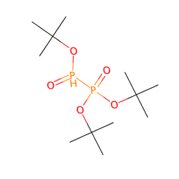 CC(C)(C)O[PH](=O)P(=O)(OC(C)(C)C)OC(C)(C)C